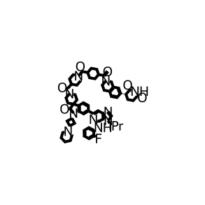 CC(C)n1cnc2cc(-c3ccc4c(c3)N(C3CC(N5CCCCC5)C3)C(=O)C43CCN(C(=O)C4CCN(C(=O)C5CCC(C(=O)N6CCc7ccc([C@H]8CCC(=O)NC8=O)cc7C6)CC5)CC4)CC3)nc(Nc3ccccc3F)c21